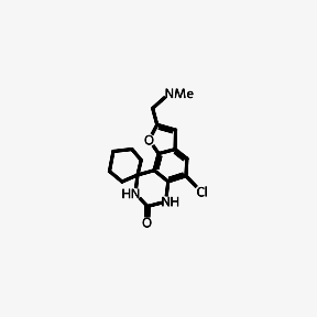 CNCc1cc2cc(Cl)c3c(c2o1)C1(CCCCC1)NC(=O)N3